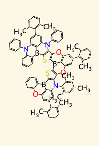 Cc1cc(C)c(N2c3cc(-c4c(C)cccc4C)cc4c3B(c3ccccc3O4)c3sc4c(c32)Oc2cc(-c3c(C)cccc3C)cc3c2B4c2sc4c(c2O3)N(c2ccccc2)c2cc(-c3c(C)cccc3C)cc3c2B4c2ccccc2N3c2ccccc2)c(C)c1